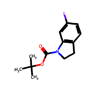 CC(C)(C)OC(=O)N1CCc2ccc(I)cc21